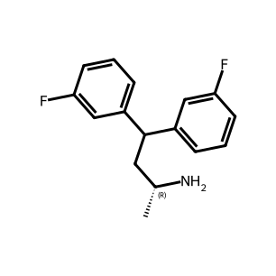 C[C@@H](N)CC(c1cccc(F)c1)c1cccc(F)c1